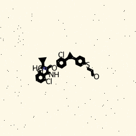 N=C(/C(COc1ccc(C2CC2c2ccc(SCCC=O)cc2)c(Cl)c1)=C(\O)C1CC1)c1c(Cl)cccc1Cl